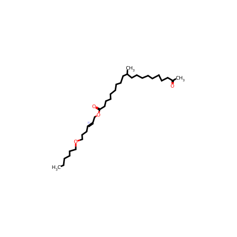 CCCCCCOCCC/C=C/COC(=O)CCCCCCCCC(C)CCCCCCCCC(C)=O